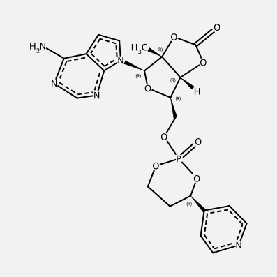 C[C@@]12OC(=O)O[C@@H]1[C@@H](COP1(=O)OCC[C@H](c3ccncc3)O1)O[C@H]2n1ccc2c(N)ncnc21